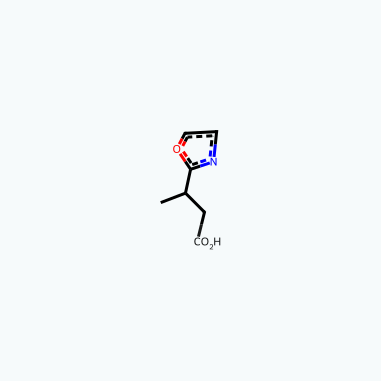 CC(CC(=O)O)c1ncco1